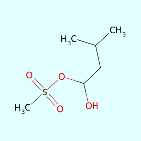 CC(C)CC(O)OS(C)(=O)=O